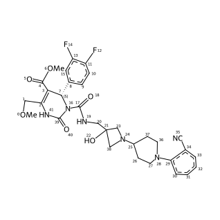 COCC1=C(C(=O)OC)[C@H](c2ccc(F)c(F)c2)N(C(=O)NCC2(O)CN(C3CCN(c4ccccc4C#N)CC3)C2)C(=O)N1